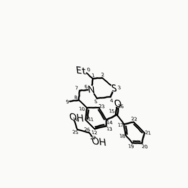 CCC1CSCCN1CC(C)c1cccc(C(=O)c2ccccc2)c1.OCCO